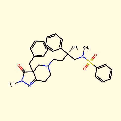 CN1N=C2CCN(CC[C@](C)(CN(C)S(=O)(=O)c3ccccc3)c3ccccc3)CC2(Cc2ccccc2)C1=O